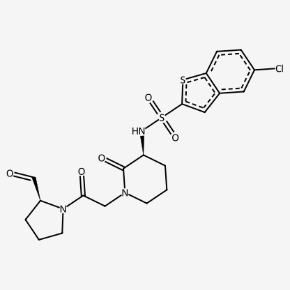 O=C[C@@H]1CCCN1C(=O)CN1CCC[C@H](NS(=O)(=O)c2cc3cc(Cl)ccc3s2)C1=O